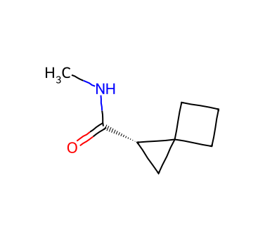 CNC(=O)[C@H]1CC12CCC2